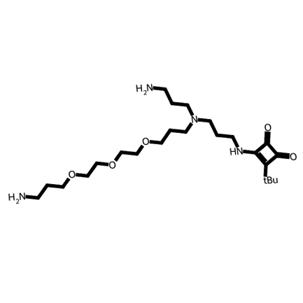 CC(C)(C)c1c(NCCCN(CCCN)CCCOCCOCCOCCCN)c(=O)c1=O